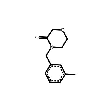 Cc1cccc(CN2CCOCC2=O)c1